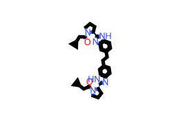 O=C(CC1CC1)N1CCC[C@H]1c1nc2cc(CCc3ccc4nc([C@@H]5CCCN5C(=O)CC5CC5)[nH]c4c3)ccc2[nH]1